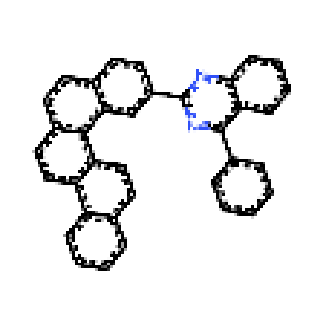 c1ccc(-c2nc(-c3ccc4ccc5ccc6c7ccccc7ccc6c5c4c3)nc3ccccc23)cc1